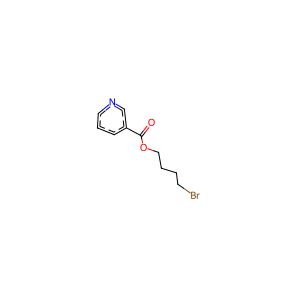 O=C(OCCCCBr)c1cccnc1